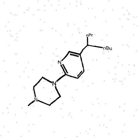 CCCCC(CCC)c1ccc(N2CCN(C)CC2)nc1